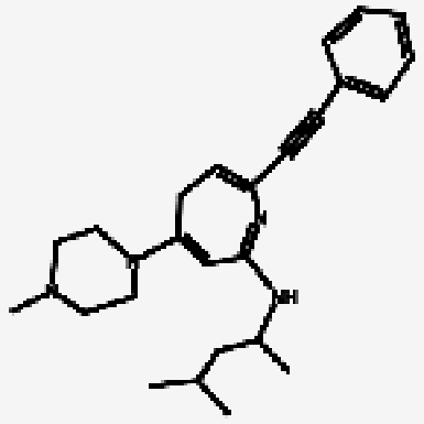 CC(C)CC(C)NC1=NC(C#Cc2ccccc2)=CCC(N2CCN(C)CC2)=C1